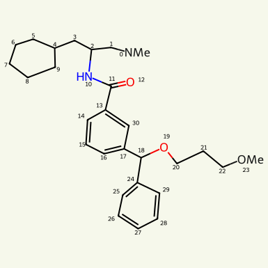 CNCC(CC1CCCCC1)NC(=O)c1cccc(C(OCCCOC)c2ccccc2)c1